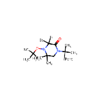 CCCCCC(C)(C)N1CC(C)(C)N(OC(C)(C)C#N)C(CC)(CC)C1=O